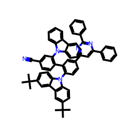 CC(C)(C)c1ccc2c(c1)c1cc(C(C)(C)C)ccc1n2-c1ccc(-c2cc(-c3ccccc3)nc(-c3ccccc3)n2)cc1-c1ccc(C#N)cc1-n1c2ccccc2c2ccccc21